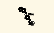 COc1cc(CCC(C)(O)C(F)(F)F)ccc1OCc1ccc2ccccc2n1